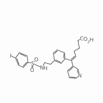 O=C(O)CCC/C=C(/c1cccnc1)c1cccc(CCNS(=O)(=O)c2ccc(I)cc2)c1